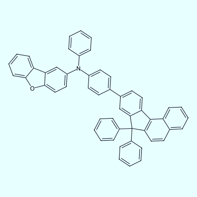 c1ccc(N(c2ccc(-c3ccc4c(c3)C(c3ccccc3)(c3ccccc3)c3ccc5ccccc5c3-4)cc2)c2ccc3oc4ccccc4c3c2)cc1